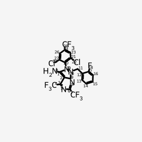 NC1=C2C(C(F)(F)F)=NC(C(F)(F)F)=NC2N(Cc2ccccc2F)N1c1c(Cl)cc(C(F)(F)F)cc1Cl